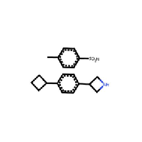 Cc1ccc(S(=O)(=O)O)cc1.c1cc(C2CNC2)ccc1C1CCC1